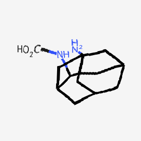 NC12CC3CC(C1)C(NC(=O)O)C(C3)C2